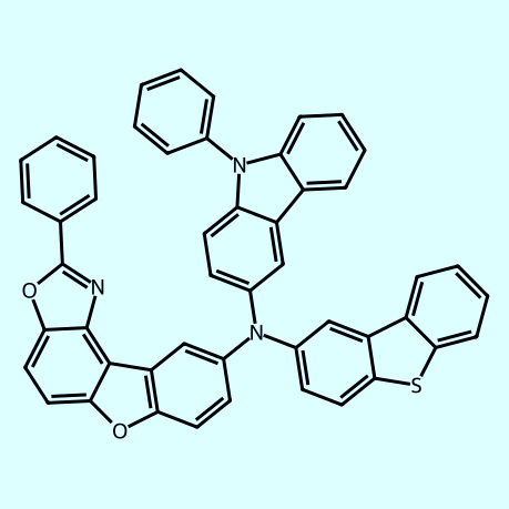 c1ccc(-c2nc3c(ccc4oc5ccc(N(c6ccc7sc8ccccc8c7c6)c6ccc7c(c6)c6ccccc6n7-c6ccccc6)cc5c43)o2)cc1